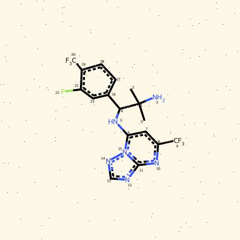 CC(C)(N)C(Nc1cc(C(F)(F)F)nc2ncnn12)c1ccc(C(F)(F)F)c(F)c1